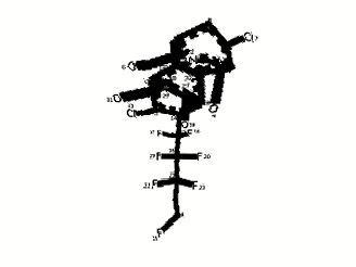 O=c1[nH]c(=O)c2c(Cl)cc1c1c3c(Cl)c(C(F)(F)C(F)(F)C(F)(F)CF)c(c(=O)[nH]c3=O)c21